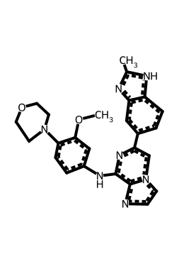 COc1cc(Nc2nc(-c3ccc4[nH]c(C)nc4c3)cn3ccnc23)ccc1N1CCOCC1